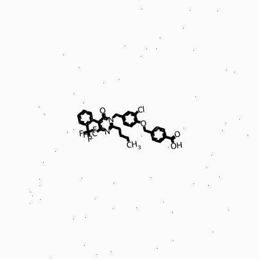 CCCCc1nc(C)c(-c2ccccc2C(F)(F)F)c(=O)n1Cc1ccc(OCc2ccc(C(=O)O)cc2)c(Cl)c1